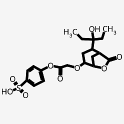 CCC(O)(CC)C1CC(OCC(=O)Oc2ccc(S(=O)(=O)O)cc2)C2CC1C(=O)O2